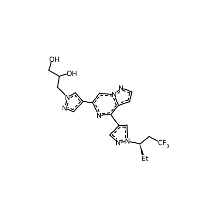 CC[C@H](CC(F)(F)F)n1cc(-c2nc(-c3cnn(CC(O)CO)c3)cn3nccc23)cn1